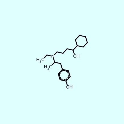 CCN(CCCC(O)C1CCCCC1)C(C)Cc1ccc(O)cc1